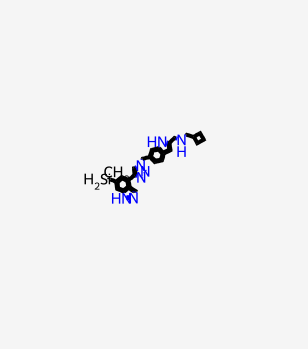 C[SiH2]c1cc(-c2cn(Cc3ccc4cc(CNCC5CCC5)[nH]c4c3)nn2)c2cn[nH]c2c1